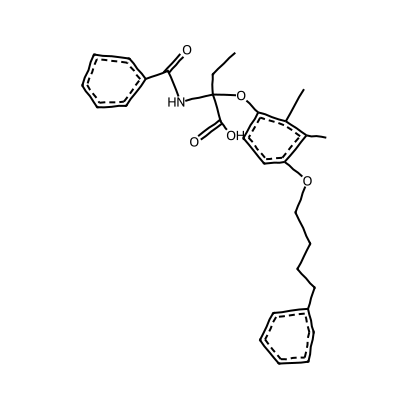 CCC(NC(=O)c1ccccc1)(Oc1ccc(OCCCCc2ccccc2)c(C)c1C)C(=O)O